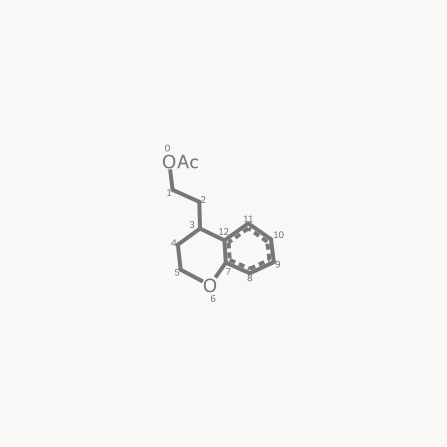 CC(=O)OCCC1CCOc2ccccc21